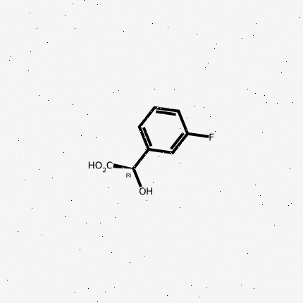 O=C(O)[C@H](O)c1cccc(F)c1